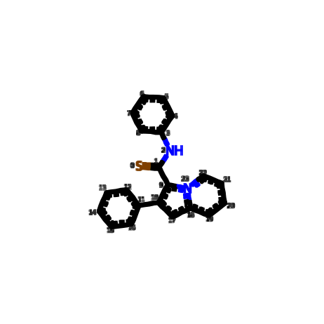 S=C(Nc1ccccc1)c1c(-c2ccccc2)cc2ccccn12